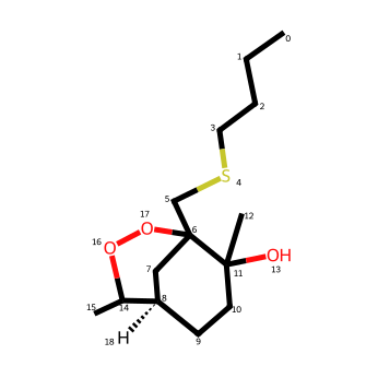 CCCCSCC12C[C@@H](CCC1(C)O)C(C)OO2